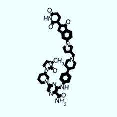 CN1CCN(C2CCCN(c3cnc(C(N)=O)c(Nc4ccc(C5CCN(CC6CCN(c7ccc8c(c7)CC(C7CCC(=O)NC7=O)C8=O)C6)CC5)cc4)n3)C2)C1=O